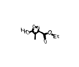 CCOC(=O)c1noc(O)c1C